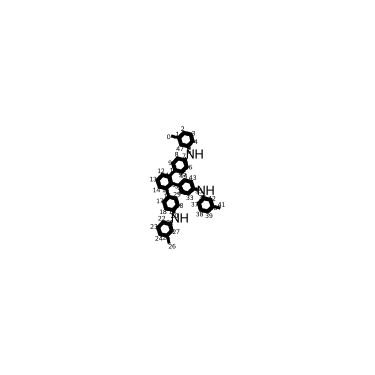 Cc1cccc(Nc2ccc(-c3cccc(-c4ccc(Nc5cccc(C)c5)cc4)c3-c3ccc(Nc4cccc(C)c4)cc3)cc2)c1